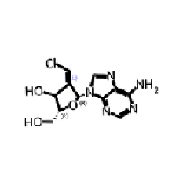 Nc1ncnc2c1ncn2[C@@H]1O[C@H](CO)C(O)/C1=C\Cl